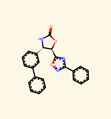 O=C1N[C@@H](c2cccc(-c3ccccc3)c2)[C@H](c2nc(-c3ccccc3)no2)O1